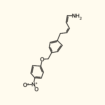 N/C=C\C=C/Cc1ccc(COc2ccc([N+](=O)[O-])cc2)cc1